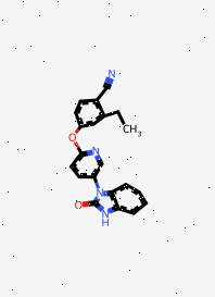 CCc1cc(Oc2ccc(-n3c(=O)[nH]c4ccccc43)cn2)ccc1C#N